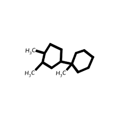 CC1CCC(C2(C)CCCCC2)CC1C